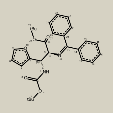 CC(C)(C)OC(=O)N[C@H](c1ccco1)[C@H](N=C(c1ccccc1)c1ccccc1)C(=O)OC(C)(C)C